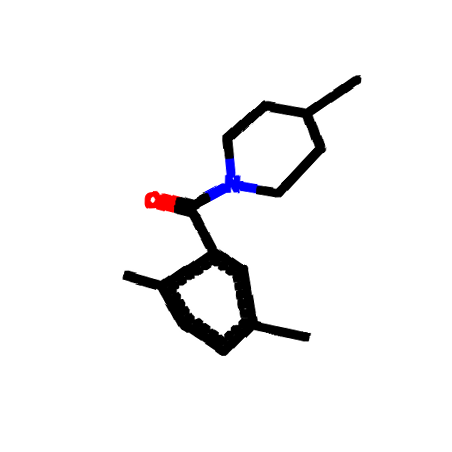 Cc1ccc(C)c(C(=O)N2CCC(C)CC2)c1